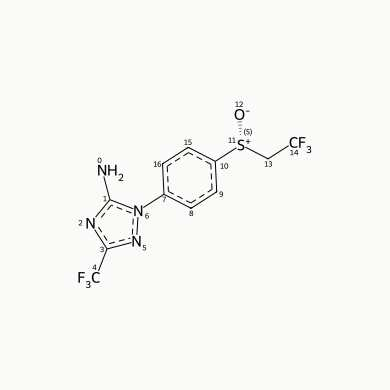 Nc1nc(C(F)(F)F)nn1-c1ccc([S@+]([O-])CC(F)(F)F)cc1